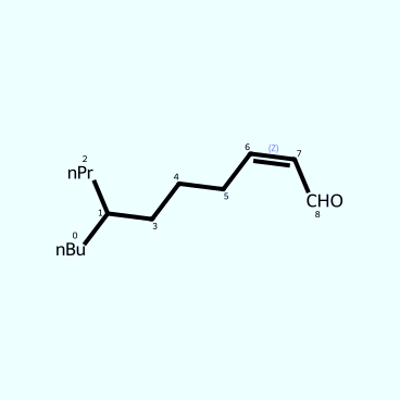 CCCCC(CCC)CCC/C=C\C=O